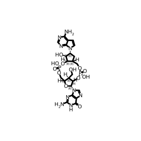 Nc1nc2c(ncn2[C@@H]2O[C@@H]3COP(=O)(O)O[C@@H]4[C@@H](COP(=O)(O)O[C@@H]2[C@@H]3CO)C[C@@H](n2ccc3c(N)ncnc32)[C@@H]4O)c(=O)[nH]1